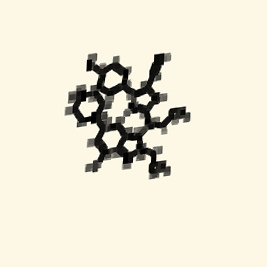 CCN(c1nc(-c2ccc(F)cc2)c(C#N)s1)c1c2cc(N3CCNCC3)cc(F)c2nn1CC